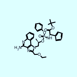 CCOCc1nc2c(N)nc3ccccc3c2n1C[C@@H](C)OP(=O)(N[C@H](C(=O)OC(C)(C)C)c1ccccc1)Oc1ccccc1